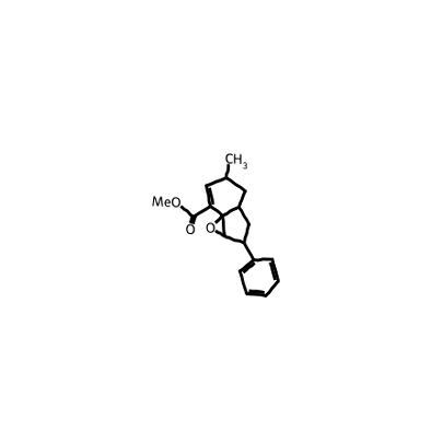 COC(=O)C1=CC(C)CC2CC(c3ccccc3)C3OC123